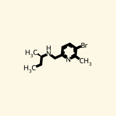 CC[C@@H](C)NCc1ccc(Br)c(C)n1